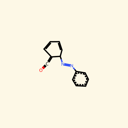 O=C=C1C=CC=CC1N=Nc1ccccc1